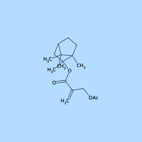 C=C(COC(C)=O)C(=O)OC1(C)CC2CCC1(C)C2(C)C